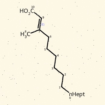 CCCCCCCCCCCCC/C(C)=C/C(=O)O